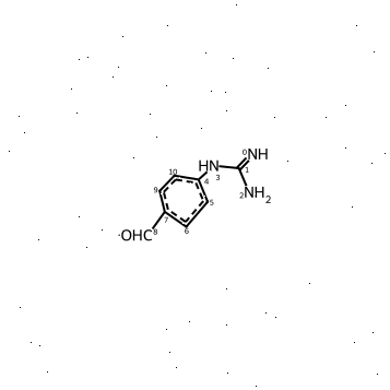 N=C(N)Nc1ccc([C]=O)cc1